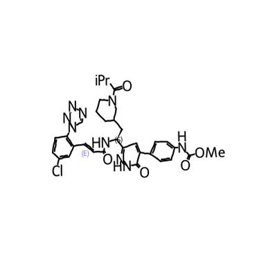 COC(=O)Nc1ccc(-c2cc([C@H](CC3CCCN(C(=O)C(C)C)C3)NC(=O)/C=C/c3cc(Cl)ccc3-n3cnnn3)n[nH]c2=O)cc1